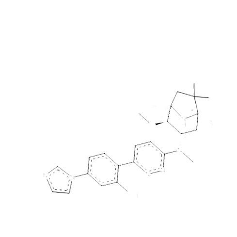 CO[C@H]1[C@H]2CC(F)(F)[C@@H](C[C@@H]1N(C)c1ccc(-c3ccc(-n4ccnc4)cc3O)nn1)N2